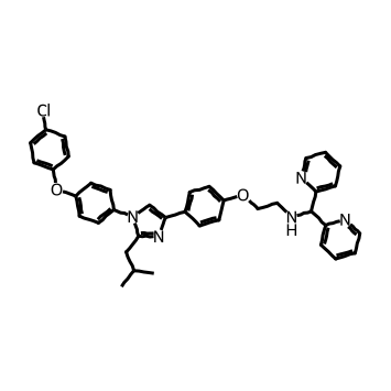 CC(C)Cc1nc(-c2ccc(OCCNC(c3ccccn3)c3ccccn3)cc2)cn1-c1ccc(Oc2ccc(Cl)cc2)cc1